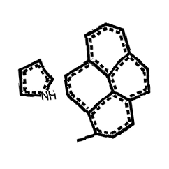 Cc1ccc2ccc3cccc4ccc1c2c34.c1cc[nH]c1